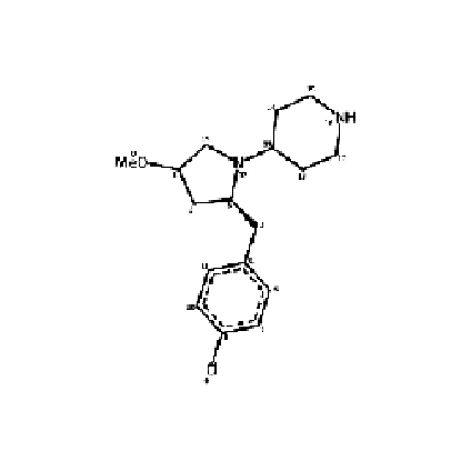 COC1C[C@H](Cc2ccc(Cl)cc2)N(C2CCNCC2)C1